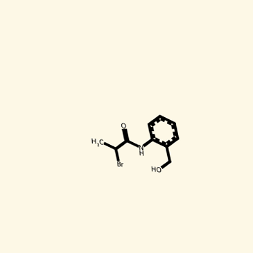 CC(Br)C(=O)Nc1ccccc1CO